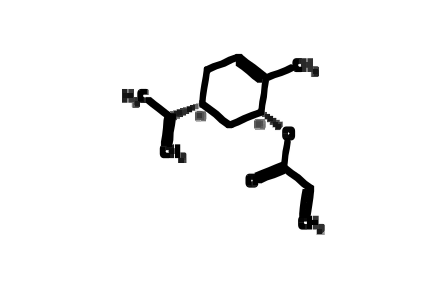 C=CC(=O)O[C@@H]1C[C@H](C(=C)C)CC=C1C